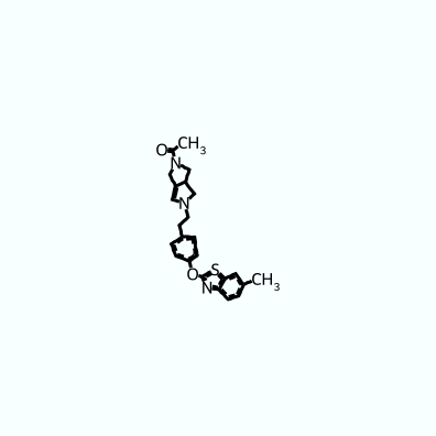 CC(=O)N1CC2=CN(CCc3ccc(Oc4nc5ccc(C)cc5s4)cc3)CC2C1